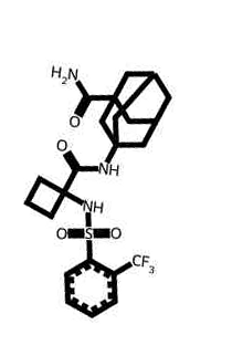 NC(=O)C12CC3CC(CC(NC(=O)C4(NS(=O)(=O)c5ccccc5C(F)(F)F)CCC4)(C3)C1)C2